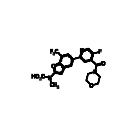 CN(C(=O)O)c1cc2cc(-c3cc(C(=O)N4CCOCC4)c(F)cn3)cc(C(F)(F)F)c2o1